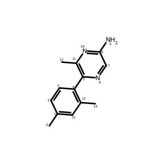 Cc1ccc(-c2ncc(N)nc2C)c(C)c1